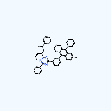 C=C(CC(/C=C\C)c1nc(C2=CCCC=C2)nc(C2=CC=CC(c3c4c(c(C5C=CCCC5)c5cc(C)ccc35)C=CCC4)C2)n1)C1=CC=CCC1